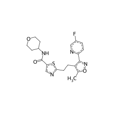 Cc1onc(-c2ccc(F)cn2)c1CCc1ncc(C(=O)NC2CCOCC2)s1